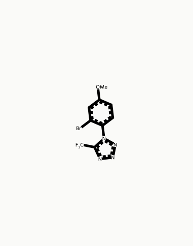 COc1ccc(-n2nnnc2C(F)(F)F)c(Br)c1